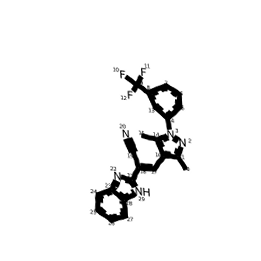 Cc1nn(-c2cccc(C(F)(F)F)c2)c(C)c1/C=C(\C#N)c1nc2ccccc2[nH]1